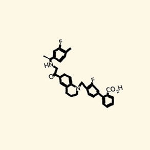 Cc1ccc([C@H](C)NCC(=O)C2C=C3CCCN(Cc4ccc(-c5ccccc5C(=O)O)cc4F)C3=CC2)cc1F